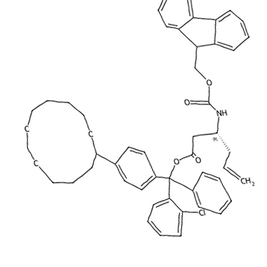 C=CC[C@H](CC(=O)OC(c1ccccc1)(c1ccc(C2CCCCCCCCCCC2)cc1)c1ccccc1Cl)NC(=O)OCC1c2ccccc2-c2ccccc21